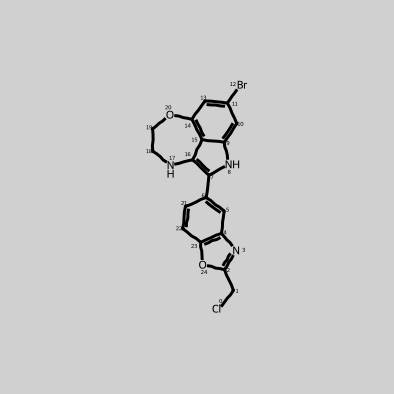 ClCc1nc2cc(-c3[nH]c4cc(Br)cc5c4c3NCCO5)ccc2o1